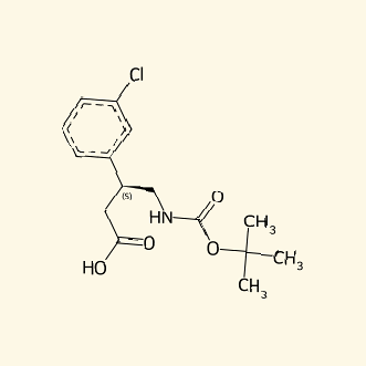 CC(C)(C)OC(=O)NC[C@@H](CC(=O)O)c1cccc(Cl)c1